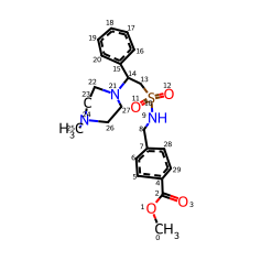 COC(=O)c1ccc(CNS(=O)(=O)CC(c2ccccc2)N2CCN(C)CC2)cc1